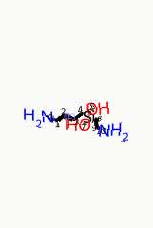 NC/C=C/C[Si](O)(O)CCN